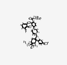 COC(=O)c1ccc(N2CCN(CC3=C(c4ccc(Cl)cc4)CC(C)(C)CC3)CC2)cc1Oc1cccc(F)c1Cl